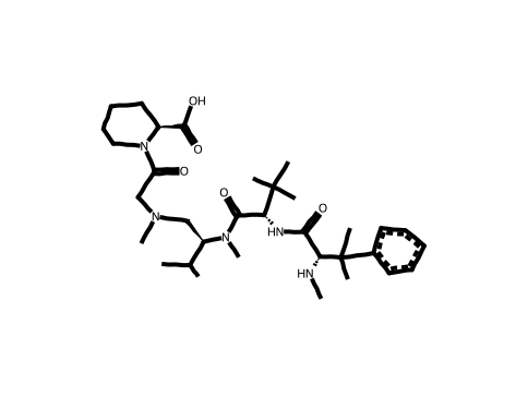 CN[C@H](C(=O)N[C@H](C(=O)N(C)[C@H](CN(C)CC(=O)N1CCCC[C@H]1C(=O)O)C(C)C)C(C)(C)C)C(C)(C)c1ccccc1